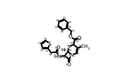 CC1=CN2C(=O)C(NC(=O)Cc3cccs3)[C@H]2SC1C(=O)OCc1ccccc1